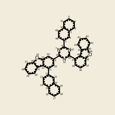 c1ccc2cc(-c3nc(-c4cc(-c5ccc6ccccc6c5)c5c(c4)oc4ccccc45)nc(-c4cccc5oc6ccccc6c45)n3)ccc2c1